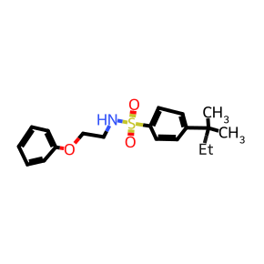 CCC(C)(C)c1ccc(S(=O)(=O)NCCOc2ccccc2)cc1